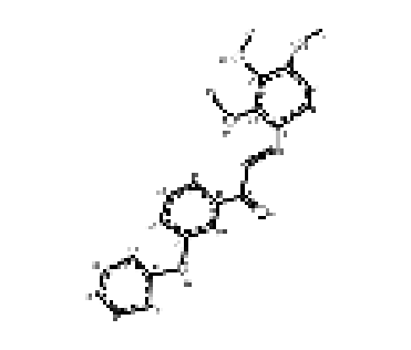 COc1ccc(C=CC(=O)c2cccc(Oc3ccccc3)c2)c(OC)c1OC